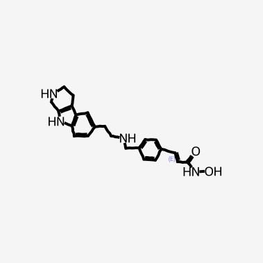 O=C(/C=C/c1ccc(CNCCc2ccc3[nH]c4c(c3c2)CCNC4)cc1)NO